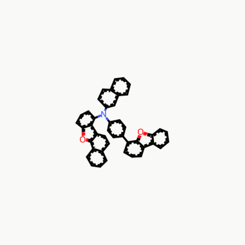 c1ccc2cc(N(c3ccc(-c4cccc5c4oc4ccccc45)cc3)c3cccc4oc5c6ccccc6ccc5c34)ccc2c1